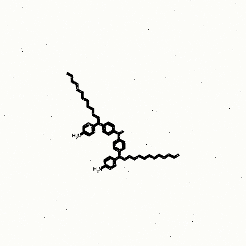 CCCCCCCCCCCCC(c1ccc(N)cc1)c1ccc(C(C)c2ccc(C(CCCCCCCCCCCC)c3ccc(N)cc3)cc2)cc1